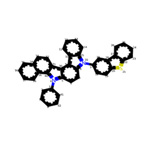 c1ccc(-n2c3ccc4c(c5ccccc5n4-c4ccc5sc6ccccc6c5c4)c3c3ccc4ccccc4c32)cc1